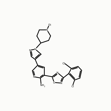 CCN1CCC(n2cc(-c3cnc(N)c(-c4nc(-c5c(Cl)cccc5Cl)no4)c3)cn2)CC1